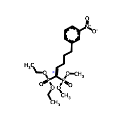 CCOP(=O)(OCC)/C(=C/CCCc1cccc([N+](=O)[O-])c1)P(=O)(OC)OC